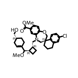 COC(=O)c1ccc2c(c1)N(C[C@@H]1CC[C@H]1C(OC)C1=CC[C@H](CO)CC1)C[C@@]1(CCCc3cc(Cl)ccc31)CO2